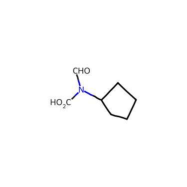 O=CN(C(=O)O)C1CCCC1